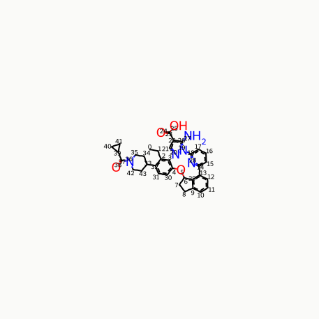 CCc1cc(OC2CCc3cccc(-c4cccc(-n5ncc(C(=O)O)c5N)n4)c32)ccc1C1CCN(C(=O)C2CC2)CC1